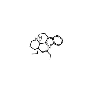 CCC1=C[C@]2(CC)CCCN3CCc4c(n1c1ccccc41)[C@@H]32